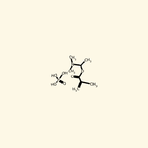 C=C(C)C(=O)OC(C)N(C)C.O=P(O)(O)O